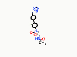 CC(=O)NC[C@H]1CN(c2ccc(-c3ccc(Cn4ncnn4)cc3)c(F)c2)C(=O)O1